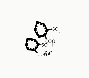 O=C([O-])c1ccccc1S(=O)(=O)O.O=C([O-])c1ccccc1S(=O)(=O)O.[Ca+2]